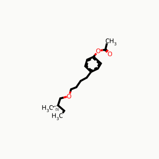 CC[C@H](C)COCCCCc1ccc(OC(C)=O)cc1